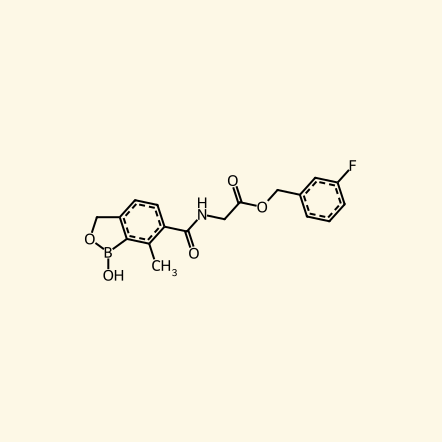 Cc1c(C(=O)NCC(=O)OCc2cccc(F)c2)ccc2c1B(O)OC2